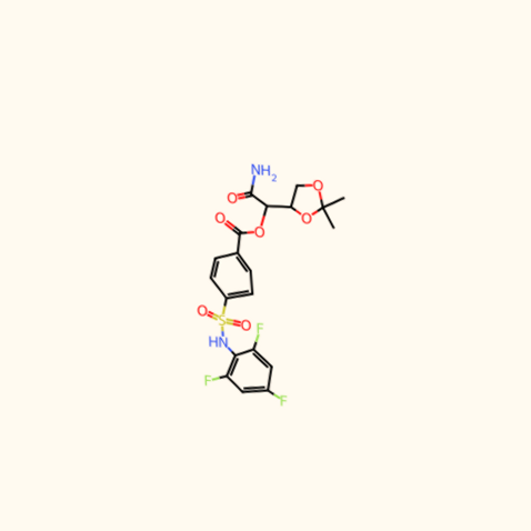 CC1(C)OCC(C(OC(=O)c2ccc(S(=O)(=O)Nc3c(F)cc(F)cc3F)cc2)C(N)=O)O1